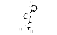 CC(C)(C)OC(=O)N1CCCN(c2cccc(N)n2)C1